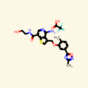 Cc1noc(-c2ccc(C)c(OCc3csc4c(C(=O)NCCO)cnc(N)c34)c2)n1.O=C(O)C(F)(F)F